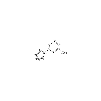 OC1=CC(c2c[nH]nn2)CC=C1